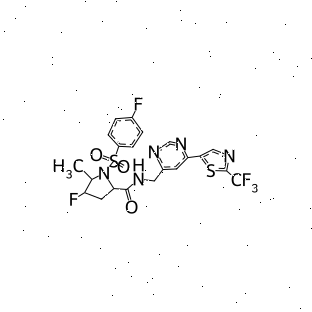 CC1C(F)CC(C(=O)NCc2cc(-c3cnc(C(F)(F)F)s3)ncn2)N1S(=O)(=O)c1ccc(F)cc1